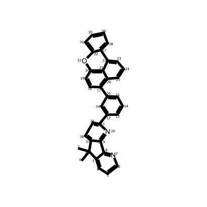 CC1(C)c2cccnc2-c2nc(-c3cccc(-c4ccc5c6c(cccc46)-c4ccccc4O5)c3)ccc21